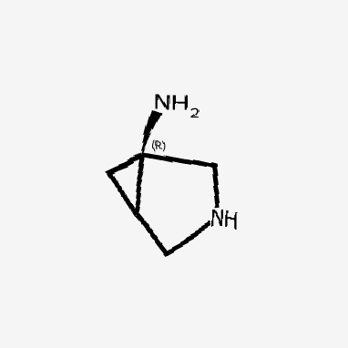 N[C@@]12CNCC1C2